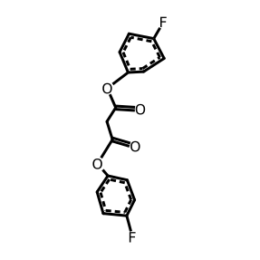 O=C(CC(=O)Oc1ccc(F)cc1)Oc1ccc(F)cc1